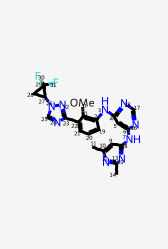 COc1c(Nc2cc(Nc3cc(C)nc(C)n3)ncn2)cccc1-c1ncn(C2CC2(F)F)n1